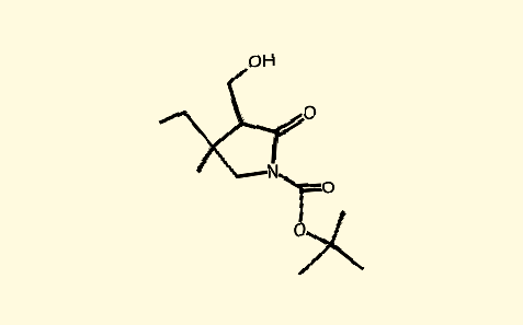 CCC1(C)CN(C(=O)OC(C)(C)C)C(=O)C1CO